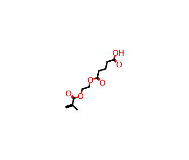 C=C(C)C(=O)OCCOC(=O)CCCC(=O)O